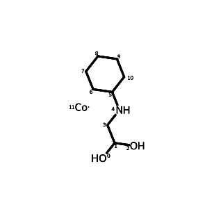 OC(O)CNC1CCCCC1.[Co]